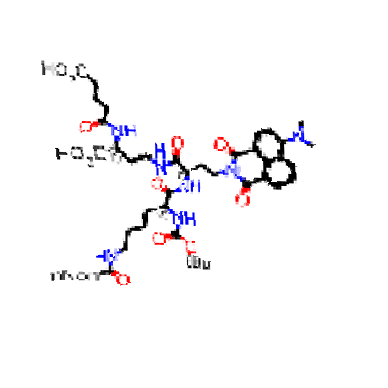 CCCCCCCCCC(=O)NCCCC[C@H](NC(=O)OC(C)(C)C)C(=O)N[C@H](CCN1C(=O)c2cccc3c(N(C)C)ccc(c23)C1=O)C(=O)NCC[C@@H](NC(=O)CCCC(=O)O)C(=O)O